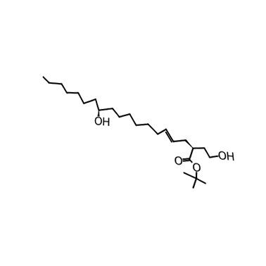 CCCCCCC[C@H](O)CCCCCC/C=C/C[C@@H](CCO)C(=O)OC(C)(C)C